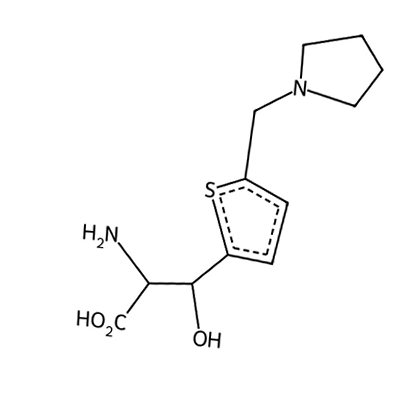 NC(C(=O)O)C(O)c1ccc(CN2CCCC2)s1